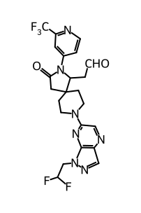 O=CCC1N(c2ccnc(C(F)(F)F)c2)C(=O)CC12CCN(c1cnc3cnn(CC(F)F)c3n1)CC2